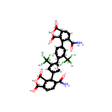 NC(=O)c1ccc2c(c1-c1ccc(-c3ccc(-c4c(C(N)=O)ccc5c4C(=O)OC5=O)cc3C(F)(F)F)c(C(F)(F)F)c1)C(=O)OC2=O